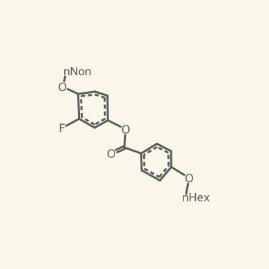 CCCCCCCCCOc1ccc(OC(=O)c2ccc(OCCCCCC)cc2)cc1F